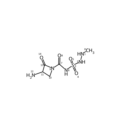 CNNS(=O)(=O)NC(=O)N1CC(N)C1=O